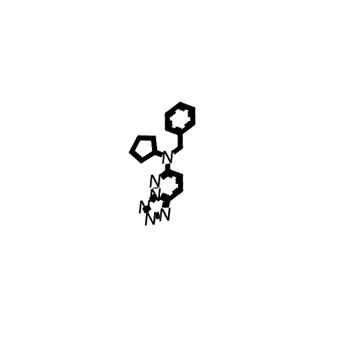 c1ccc(CN(c2ccc3nnnn3n2)C2CCCC2)cc1